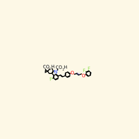 Cc1c(CC2(CC(=O)O)CC2)c2c(F)ccc(C=Cc3ccc(OC/C=C/COc4cccc(F)c4F)cc3)c2n1CC(=O)O